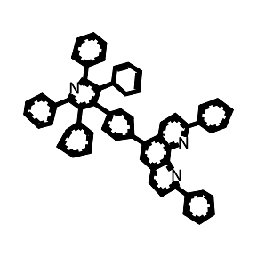 C1=CCC(c2c(-c3ccccc3)nc(-c3ccccc3)c(-c3ccccc3)c2-c2ccc(-c3cc4ccc(-c5ccccc5)nc4c4nc(-c5ccccc5)ccc34)cc2)C=C1